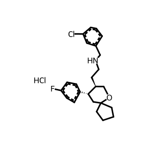 Cl.Fc1ccc([C@H]2CC3(CCCC3)OC[C@@H]2CCNCc2cccc(Cl)c2)cc1